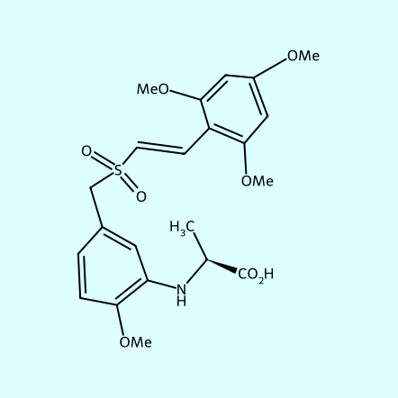 COc1cc(OC)c(C=CS(=O)(=O)Cc2ccc(OC)c(N[C@@H](C)C(=O)O)c2)c(OC)c1